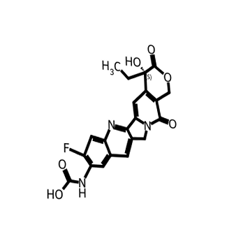 CC[C@@]1(O)C(=O)OCc2c1cc1n(c2=O)Cc2cc3cc(NC(=O)O)c(F)cc3nc2-1